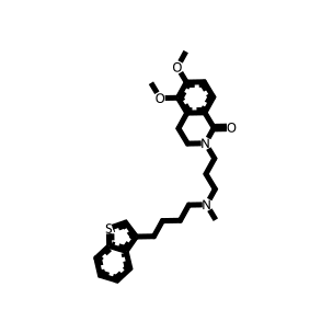 COc1ccc2c(c1OC)CCN(CCCN(C)CCCCc1csc3ccccc13)C2=O